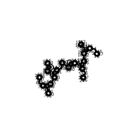 c1ccc(Cc2ccc3c(c2)c2cc(-c4ccc5c6cc(Cc7ccccc7)ccc6n(-c6ccc7oc8c(-c9ccccc9Cc9ccc%10c(c9)c9ccc(-c%11ccc%12c(c%11)c%11cc(Cc%13ccccc%13)ccc%11n%12-c%11ccccc%11)cc9n%10-c9cccc%10c9oc9ccccc9%10)cccc8c7c6)c5c4)ccc2n3-c2ccccc2)cc1